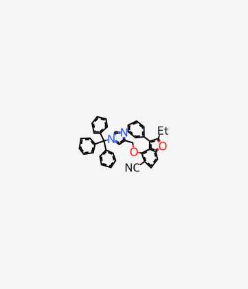 CCc1oc2ccc(C#N)c(OCc3cn(C(c4ccccc4)(c4ccccc4)c4ccccc4)cn3)c2c1-c1ccccc1